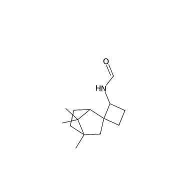 CC12CCC(C3(CCC3NC=O)C1)C2(C)C